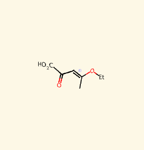 CCO/C(C)=C/C(=O)C(=O)O